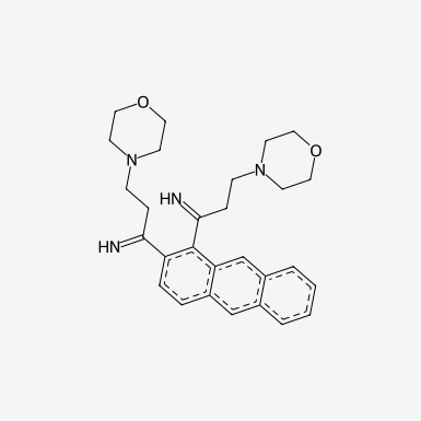 N=C(CCN1CCOCC1)c1ccc2cc3ccccc3cc2c1C(=N)CCN1CCOCC1